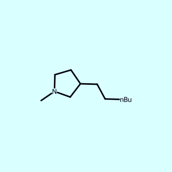 CCCCCCC1CCN(C)C1